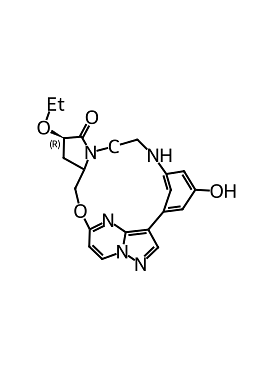 CCO[C@@H]1CC2COc3ccn4ncc(c4n3)-c3cc(O)cc(c3)NCCN2C1=O